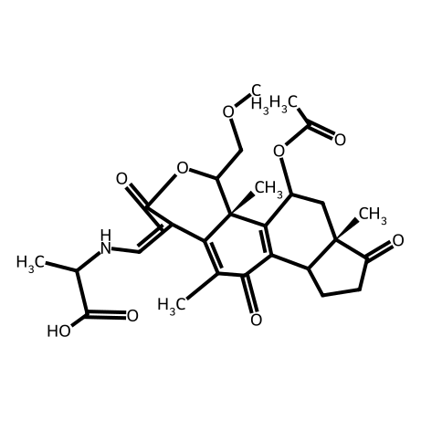 COCC1OC(=O)/C(=C\NC(C)C(=O)O)C2=C(C)C(=O)C3=C(C(OC(C)=O)C[C@]4(C)C(=O)CCC34)[C@]21C